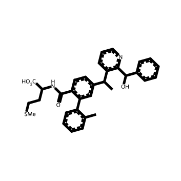 CSCCC(NC(=O)c1ccc(C(C)c2cccnc2C(O)c2ccccc2)cc1-c1ccccc1C)C(=O)O